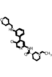 CCN1CCC[C@H](C(=O)Nc2cc(-c3cccc(NCC4CCOCC4)c3)c(Cl)cn2)C1